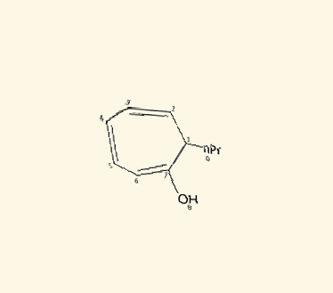 CCCC1C=CC=CC=C1O